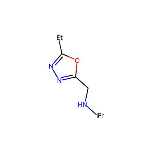 CCc1nnc(CNC(C)C)o1